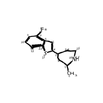 CC1CC(c2cc3c(F)cccc3s2)CCN1